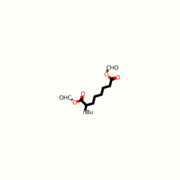 CCCCC(CCCCCC(=O)OC=O)C(=O)OC=O